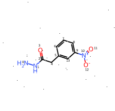 NNC(=O)Cc1cccc([N+](=O)[O-])c1